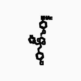 CC(=O)Nc1ccc(OC[C@@H]2CO[C@](CCc3ccc(Cl)cc3)(Cn3ccnc3)O2)cc1